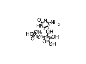 Nc1cc[nH]c(=O)n1.O=P(O)(O)OC[C@H]1OC(O)[C@@H](O)[C@@H]1O